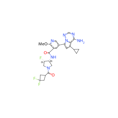 COc1ncc(-c2cc(C3CC3)c3c(N)ncnn23)cc1C(=O)N[C@@H]1CN(C(=O)C2CC(F)(F)C2)C[C@@H]1F